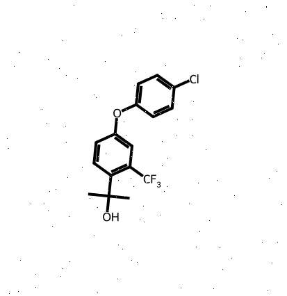 CC(C)(O)c1ccc(Oc2ccc(Cl)cc2)cc1C(F)(F)F